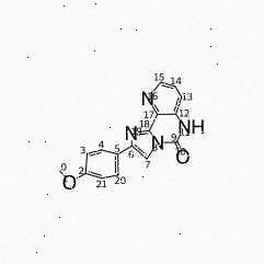 COc1ccc(-c2cn3c(=O)[nH]c4cccnc4c3n2)cc1